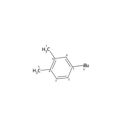 CCC(C)c1ccc(C)c(C)c1